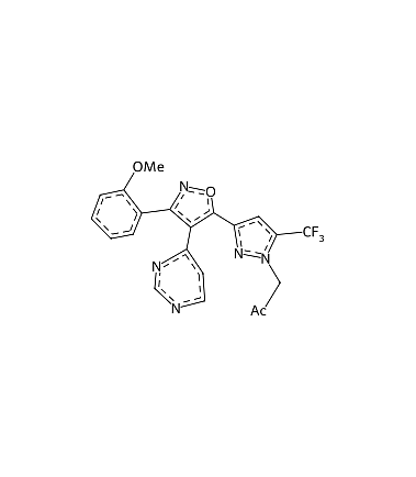 COc1ccccc1-c1noc(-c2cc(C(F)(F)F)n(CC(C)=O)n2)c1-c1ccncn1